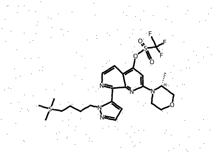 C[C@@H]1COCCN1c1cc(OS(=O)(=O)C(F)(F)F)c2ccnc(-c3ccnn3CCCCS(C)(C)C)c2n1